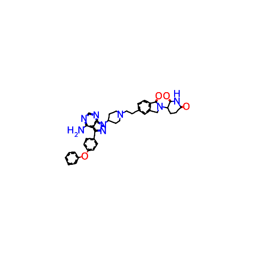 Nc1ncnc2c1c(-c1ccc(Oc3ccccc3)cc1)nn2C1CCN(CCc2ccc3c(c2)CN(C2CCC(=O)NC2=O)C3=O)CC1